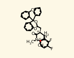 C[C@@H](CN)N(C)C(=O)[C@@H](CC(=O)OC(c1ccccc1)(c1ccccc1)c1ccccc1Cl)Cc1cccc(F)c1F